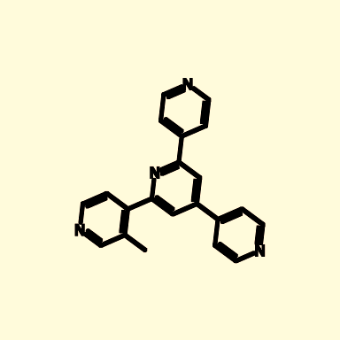 Cc1cnccc1-c1cc(-c2ccncc2)cc(-c2ccncc2)n1